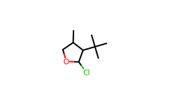 CC1COC(Cl)C1C(C)(C)C